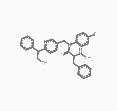 CCC(c1ccccc1)c1ccc(CN(C(=O)C(Cc2ccccc2)NC)c2ccc(F)cc2)cn1